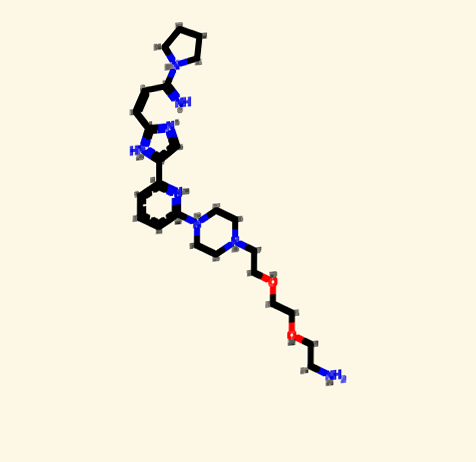 N=C(/C=C\c1ncc(-c2cccc(N3CCN(CCOCCOCCN)CC3)n2)[nH]1)N1CCCC1